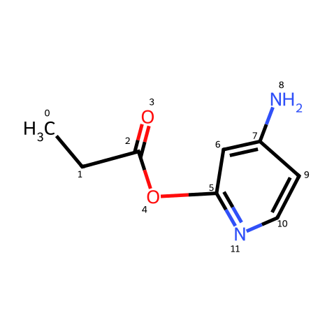 CCC(=O)Oc1cc(N)ccn1